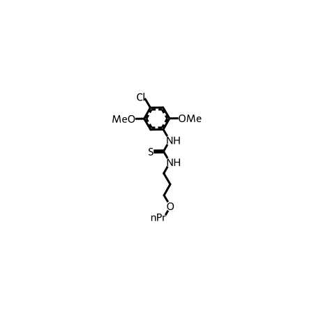 CCCOCCCNC(=S)Nc1cc(OC)c(Cl)cc1OC